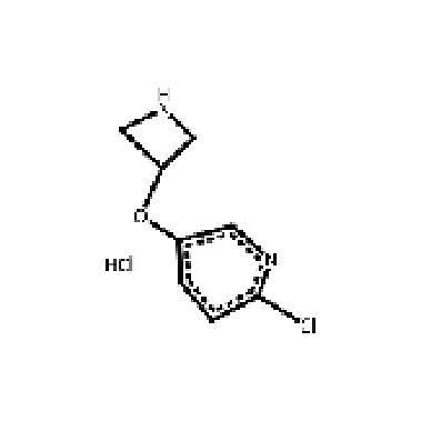 Cl.Clc1ccc(OC2CNC2)cn1